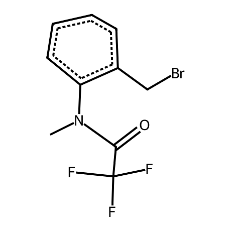 CN(C(=O)C(F)(F)F)c1ccccc1CBr